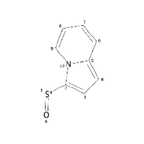 O=[S+]c1ccc2ccccn12